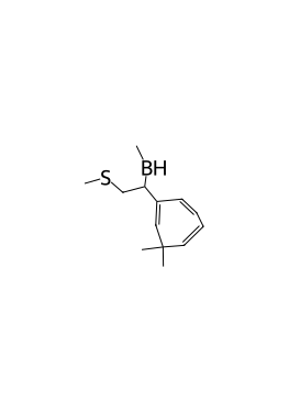 CBC(CSC)C1=CC(C)(C)C=CC=C1